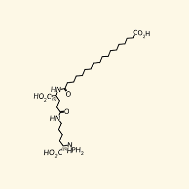 O=C(O)CCCCCCCCCCCCCCCCC(=O)N[C@@H](CCC(=O)NCCCC[C@H](NP)C(=O)O)C(=O)O